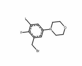 Fc1c(I)cc(N2CCOCC2)cc1CBr